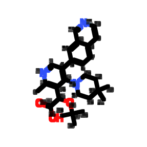 Cc1ncc(-c2ccc3ccncc3c2)c(N2CCC(C)(C)CC2)c1C(OC(C)(C)C)C(=O)O